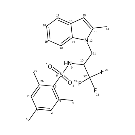 Cc1cc(C)c(S(=O)(=O)NC(Cn2c(C)[c]c3ccccc32)C(F)(F)F)c(C)c1